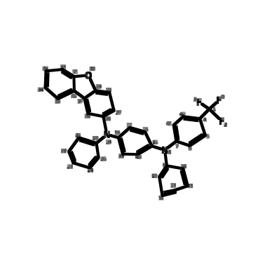 FC(F)(F)c1ccc(N(c2ccccc2)c2ccc(N(c3ccccc3)c3ccc4oc5ccccc5c4c3)cc2)cc1